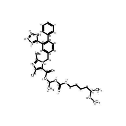 CCCCc1nc(Cl)c(C(=O)OC(C)OC(=O)OCCCC[C@@H](C)O[N+](=O)[O-])n1Cc1ccc(-c2ccccc2)c(-c2nnn[nH]2)c1